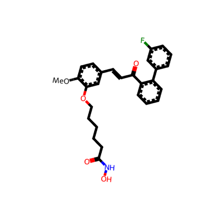 COc1ccc(C=CC(=O)c2ccccc2-c2cccc(F)c2)cc1OCCCCCC(=O)NO